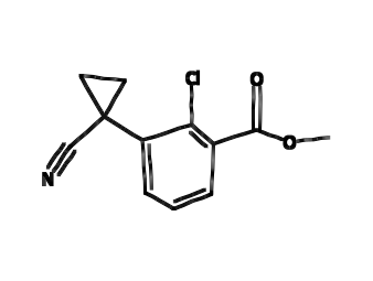 COC(=O)c1cccc(C2(C#N)CC2)c1Cl